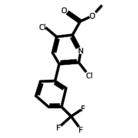 COC(=O)c1nc(Cl)c(-c2cccc(C(F)(F)F)c2)cc1Cl